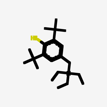 CC[Si](CC)(CC)Cc1cc(C(C)(C)C)c(S)c(C(C)(C)C)c1